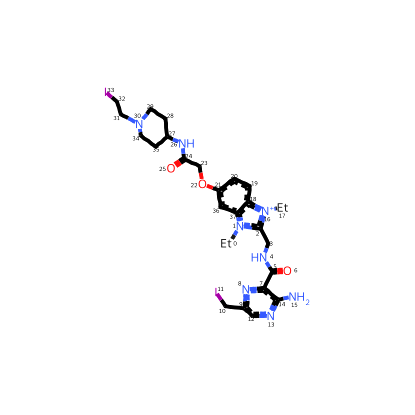 CCn1c(CNC(=O)c2nc(CI)cnc2N)[n+](CC)c2ccc(OCC(=O)NC3CCN(CCI)CC3)cc21